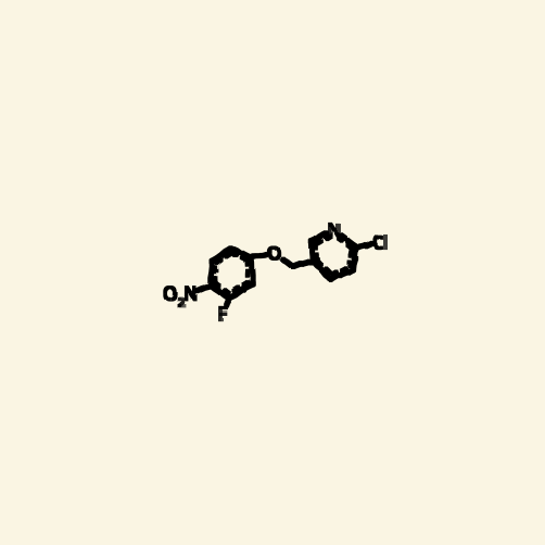 O=[N+]([O-])c1ccc(OCc2ccc(Cl)nc2)cc1F